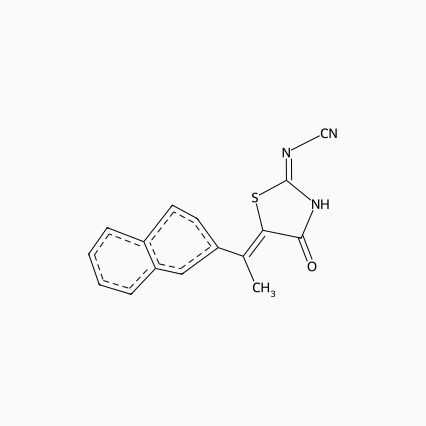 CC(=C1SC(=NC#N)NC1=O)c1ccc2ccccc2c1